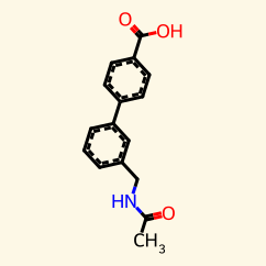 CC(=O)NCc1cccc(-c2ccc(C(=O)O)cc2)c1